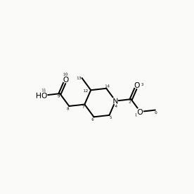 COC(=O)N1CCC(CC(=O)O)C(C)C1